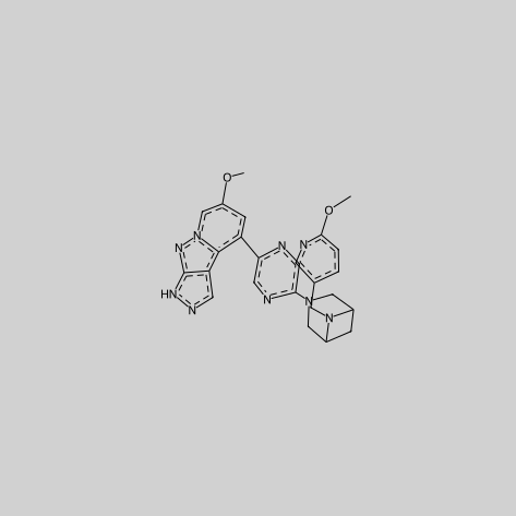 COc1cc(-c2cnc(N3CC4CC(C3)N4Cc3ccc(OC)nc3)cn2)c2c3cn[nH]c3nn2c1